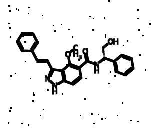 COc1c(C(=O)N[C@H](CO)c2ccccc2)ccc2[nH]nc(C=Cc3ccccc3)c12